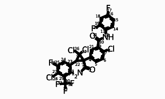 NC(=O)C1(c2ccc(Cl)c(C(=O)Nc3ccc(F)cc3F)c2)C(c2cc(F)c(Cl)c(C(F)(F)F)c2)C1(Cl)Cl